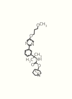 COCCCOc1cnc(-c2cccc(C(C)(C)NC(=O)OC3CCN4CCC3CC4)c2)nc1